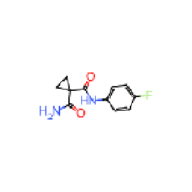 NC(=O)C1(C(=O)Nc2ccc(F)cc2)CC1